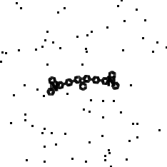 c1ccc(-n2c3ccccc3c3cc(-c4ccc(-c5ccc6c(c5)C5(CCCCC5)c5cc(-c7ccc(-c8ccc9c(c8)c8ccccc8n9-c8ccccc8)cc7)ccc5-6)cc4)ccc32)cc1